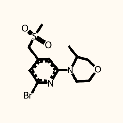 CC1COCCN1c1cc(CS(C)(=O)=O)cc(Br)n1